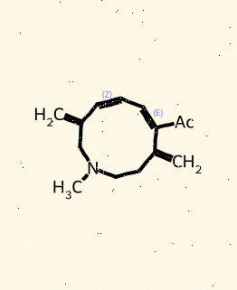 C=C1/C=C\C=C(\C(C)=O)C(=C)CCN(C)C1